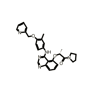 Cc1cc(Nc2ncnc3cccc(O[C@H](C)C(=O)N4CCCC4)c23)ccc1OCc1ccccn1